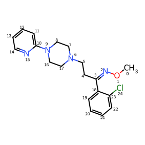 CON=C(CCN1CCN(c2ccccn2)CC1)c1ccccc1Cl